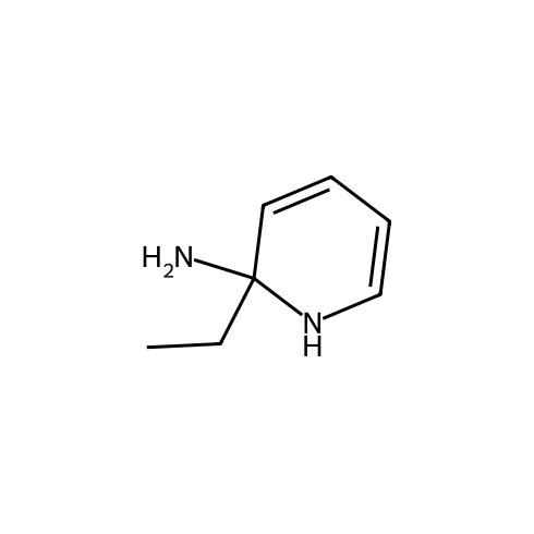 CCC1(N)C=CC=CN1